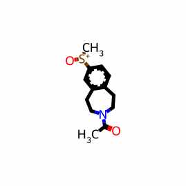 CC(=O)N1CCc2ccc([S+](C)[O-])cc2CC1